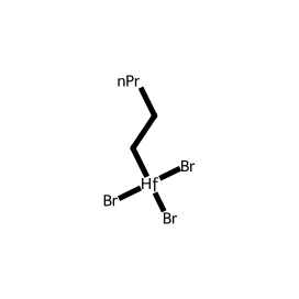 CCCC[CH2][Hf]([Br])([Br])[Br]